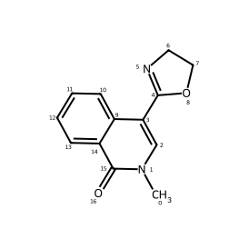 Cn1cc(C2=NCCO2)c2ccccc2c1=O